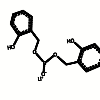 [Li+].[O-]B(OCc1ccccc1O)OCc1ccccc1O